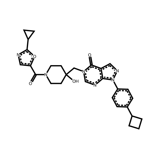 O=C(c1cnc(C2CC2)o1)N1CCC(O)(Cn2cnc3c(cnn3-c3ccc(C4CCC4)cc3)c2=O)CC1